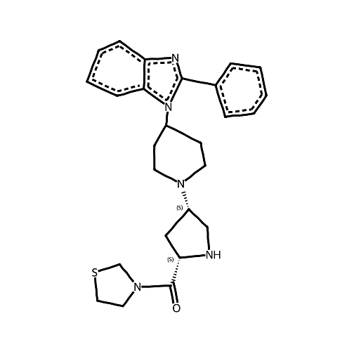 O=C([C@@H]1C[C@H](N2CCC(n3c(-c4ccccc4)nc4ccccc43)CC2)CN1)N1CCSC1